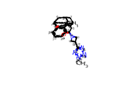 CC1C2CC3CC1CC(C2)C3(CC(=O)N1CC(c2nnn(C)n2)C1)c1ccccc1